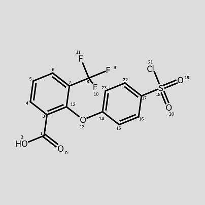 O=C(O)c1cccc(C(F)(F)F)c1Oc1ccc(S(=O)(=O)Cl)cc1